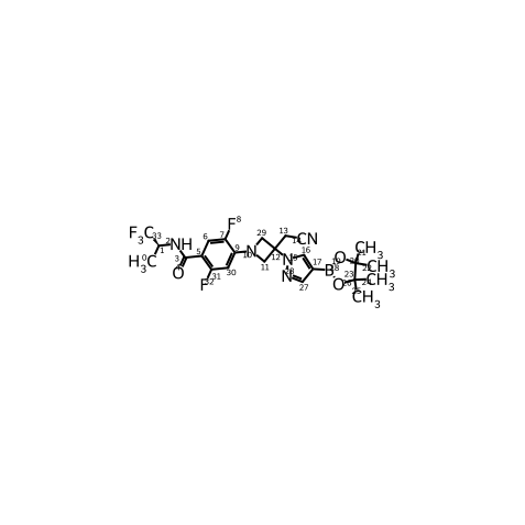 C[C@H](NC(=O)c1cc(F)c(N2CC(CC#N)(n3cc(B4OC(C)(C)C(C)(C)O4)cn3)C2)cc1F)C(F)(F)F